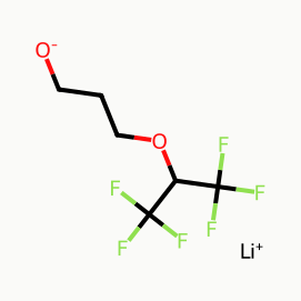 [Li+].[O-]CCCOC(C(F)(F)F)C(F)(F)F